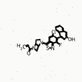 C=CC(=O)N1CC2C1CCN2c1snc2c(F)c(-c3cc(O)cc4ccccc34)c(Cl)cc12